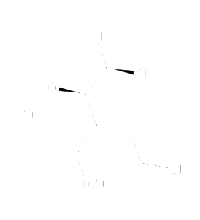 CCCCO[C@@H]([C@H](C)O)[C@H](CCO)OCCCC